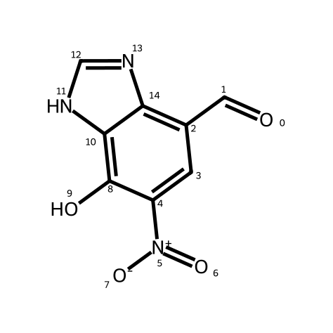 O=Cc1cc([N+](=O)[O-])c(O)c2[nH]cnc12